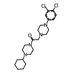 O=C(CN1CCN(c2ccc(Cl)c(Cl)c2)CC1)N1CCN(C2CCCCC2)CC1